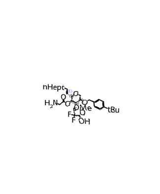 CCCCCCC/C=C/[C@@H]1OC[C@@H](OCc2ccc(C(C)(C)C)cc2)[C@H](OC)[C@@H]1OC(=O)CN.O=C(O)C(F)(F)F